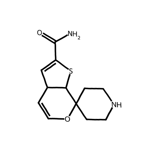 NC(=O)C1=CC2C=COC3(CCNCC3)C2S1